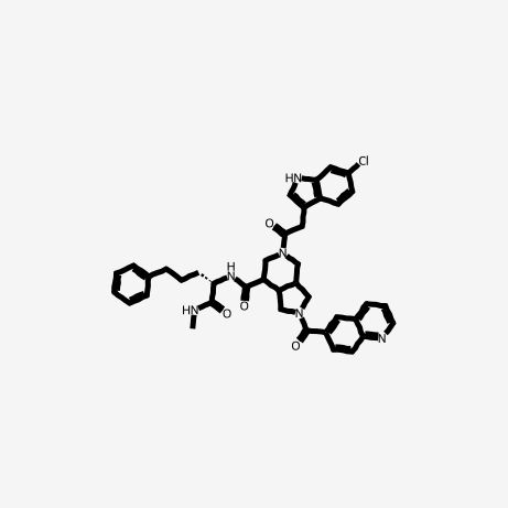 CNC(=O)[C@H](CCCc1ccccc1)NC(=O)C1CN(C(=O)Cc2c[nH]c3cc(Cl)ccc23)CC2CN(C(=O)c3ccc4ncccc4c3)CC21